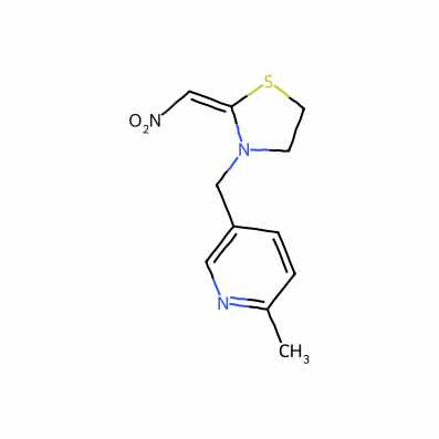 Cc1ccc(CN2CCS/C2=C/[N+](=O)[O-])cn1